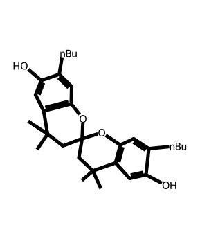 CCCCc1cc2c(cc1O)C(C)(C)CC1(CC(C)(C)c3cc(O)c(CCCC)cc3O1)O2